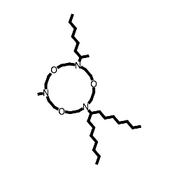 CCCCCCCC(CCCCCCC)N1CCOCCN(C)CCOCCN(C(C)CCCCCC)CCOCC1